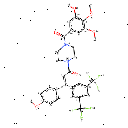 COc1ccc(/C(=C/C(=O)N2CCN(C(=O)c3cc(OC)c(OC)c(OC)c3)CC2)c2cc(C(F)(F)F)cc(C(F)(F)F)c2)cc1